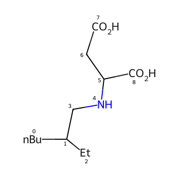 CCCCC(CC)CNC(CC(=O)O)C(=O)O